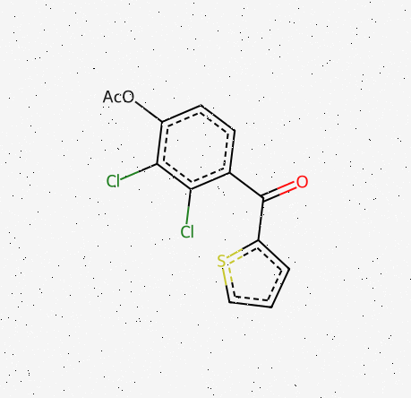 CC(=O)Oc1ccc(C(=O)c2cccs2)c(Cl)c1Cl